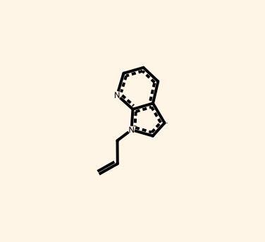 C=CCn1c[c]c2cccnc21